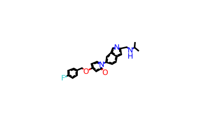 CC(C)NCc1cc2ccc(-n3ccc(OCc4ccc(F)cc4)cc3=O)cc2cn1